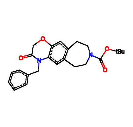 CC(C)(C)OC(=O)N1CCc2cc3c(cc2CC1)N(Cc1ccccc1)C(=O)CO3